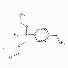 C=Cc1ccc([Si](C)(COCC)OCC)cc1